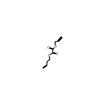 C#CCOC(=O)C(=O)OCCC=C